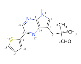 CC(C)(C=O)Cc1c[nH]c2ncc(-c3cccs3)nc12